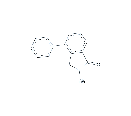 CCCC1Cc2c(cccc2-c2ccccc2)C1=O